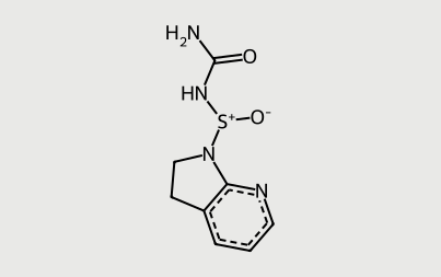 NC(=O)N[S+]([O-])N1CCc2cccnc21